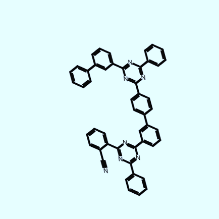 N#Cc1ccccc1-c1nc(-c2ccccc2)nc(-c2cccc(-c3ccc(-c4nc(-c5ccccc5)nc(-c5cccc(-c6ccccc6)c5)n4)cc3)c2)n1